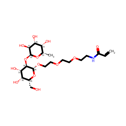 C=CC(=O)NCCOCCOCCO[C@@H]1O[C@H](CO)[C@H](O)[C@H](O)[C@H]1O[C@@H]1O[C@@H](C)[C@@H](O)[C@@H](O)[C@@H]1O